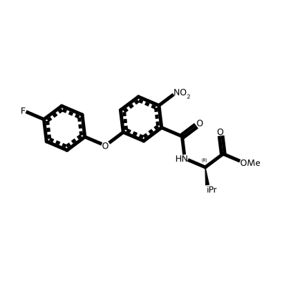 COC(=O)[C@H](NC(=O)c1cc(Oc2ccc(F)cc2)ccc1[N+](=O)[O-])C(C)C